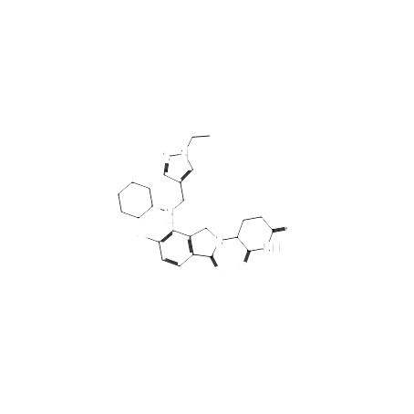 CCn1cc(CN[C@@H]2CCCC[C@H]2Oc2ccc3c(c2)CN(C2CCC(=O)NC2=O)C3=O)cn1